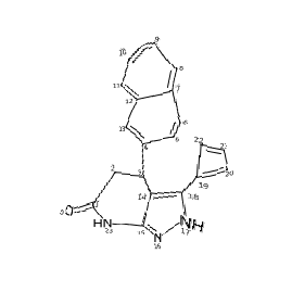 O=C1CC(c2ccc3ccccc3c2)c2c(n[nH]c2C2=CC=C2)N1